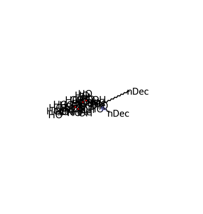 CCCCCCCCCCCCC/C=C/[C@@H](O)[C@H](CO[C@@H]1OC(CO)[C@@H](O[C@@H]2OC(CO)[C@H](O)[C@H](O[C@@H]3OC(CO)[C@@H](O[C@@H]4OC(CO)[C@H](O)[C@H](O[C@@H]5OC(CO)[C@@H](O[C@H]6OC(C)[C@@H](O)C(O)[C@@H]6O)[C@H](O)C5NC(C)=O)C4O)[C@H](O[C@H]4OC(C)[C@@H](O)C(O)[C@@H]4O)C3NC(C)=O)C2O)[C@H](O)C1O)NC(=O)CCCCCCCCCCCCCCCCCCCCCCCCC